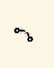 FC(F)(COCC(F)(F)c1ccccc1)c1ccccc1